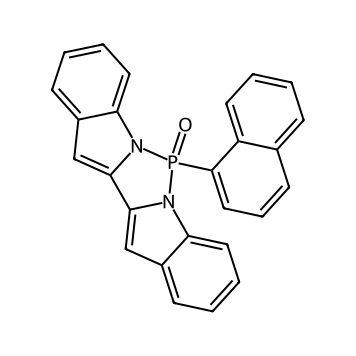 O=P1(c2cccc3ccccc23)n2c(cc3ccccc32)-c2cc3ccccc3n21